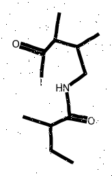 CCC(C)C(=O)NCC(C)C(C)C(=O)I